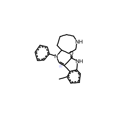 Cc1cccc2c1/C(=C/N(c1ccccc1)C1CCCCNCC1)C(=O)N2